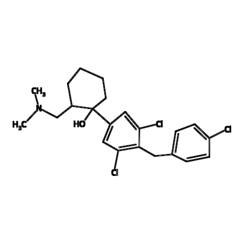 CN(C)CC1CCCCC1(O)c1cc(Cl)c(Cc2ccc(Cl)cc2)c(Cl)c1